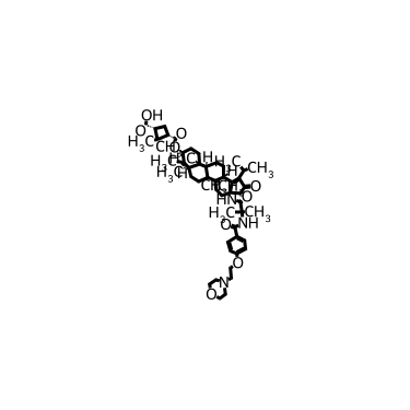 CC(C)C1=C2[C@H]3CC[C@@H]4[C@@]5(C)CC[C@H](OC(=O)[C@H]6C[C@@H](C(=O)O)C6(C)C)C(C)(C)[C@@H]5CC[C@@]4(C)[C@]3(C)CC[C@@]2(NC(=O)C(C)(C)NC(=O)c2ccc(OCCN3CCOCC3)cc2)CC1=O